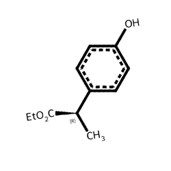 CCOC(=O)[C@H](C)c1ccc(O)cc1